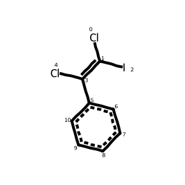 ClC(I)=C(Cl)c1ccccc1